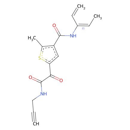 C#CCNC(=O)C(=O)c1cc(C(=O)N/C(C=C)=C/C)c(C)s1